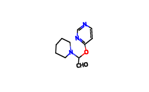 O=CC(Oc1ccncn1)N1CCCCC1